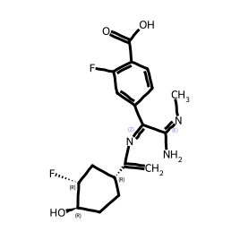 C=C(/N=C(\C(N)=N/C)c1ccc(C(=O)O)c(F)c1)[C@@H]1CC[C@@H](O)[C@H](F)C1